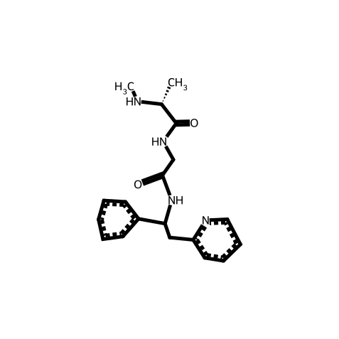 CN[C@H](C)C(=O)NCC(=O)NC(Cc1ccccn1)c1ccccc1